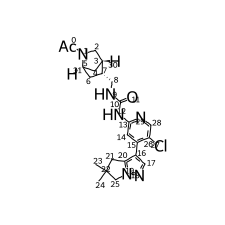 CC(=O)N1C[C@H]2C[C@H]1C[C@H]2CNC(=O)Nc1cc(-c2cnn3c2CC(C)(C)C3)c(Cl)cn1